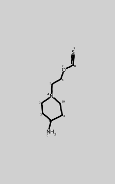 NC1CCN(CCOC=S)CC1